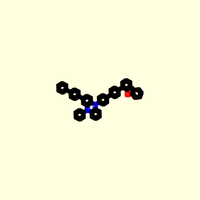 c1ccc(-c2ccc(-c3ccc4c(c3)N(c3ccccc3)c3ccccc3N4c3ccc(-c4ccc(-c5cccc6c5oc5ccccc56)cc4)cc3)cc2)cc1